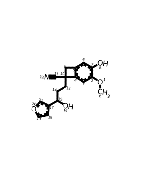 COc1cc2c(cc1O)CC2(C#N)CCC(O)c1ccoc1